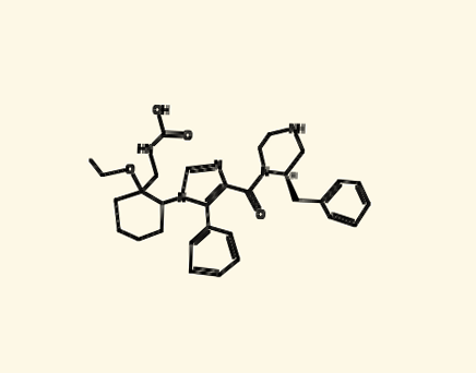 CCOC1(CNC(=O)O)CCCCC1n1cnc(C(=O)N2CCNC[C@H]2Cc2ccccc2)c1-c1ccccc1